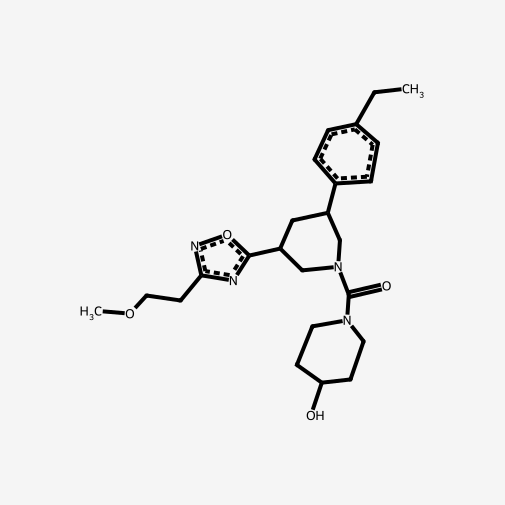 CCc1ccc(C2CC(c3nc(CCOC)no3)CN(C(=O)N3CCC(O)CC3)C2)cc1